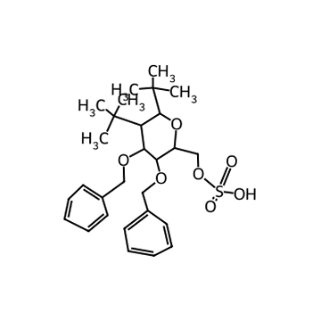 CC(C)(C)C1OC(COS(=O)(=O)O)C(OCc2ccccc2)C(OCc2ccccc2)C1C(C)(C)C